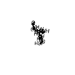 COC(C)(C)CNC(=O)c1cnc(-c2cnc3[nH]ccc3c2NC2C[C@@H]3CN(C(=O)[C@H](C)O)C[C@@H]3C2)s1